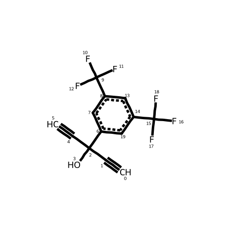 C#CC(O)(C#C)c1cc(C(F)(F)F)cc(C(F)(F)F)c1